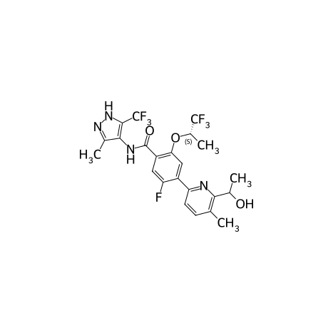 Cc1ccc(-c2cc(O[C@@H](C)C(F)(F)F)c(C(=O)Nc3c(C)n[nH]c3C(F)(F)F)cc2F)nc1C(C)O